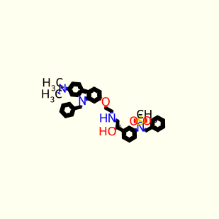 CN(C)c1ccc2c3ccc(OCCNC[C@H](O)c4cccc(N(Cc5ccccc5)S(C)(=O)=O)c4)cc3n(Cc3ccccc3)c2c1